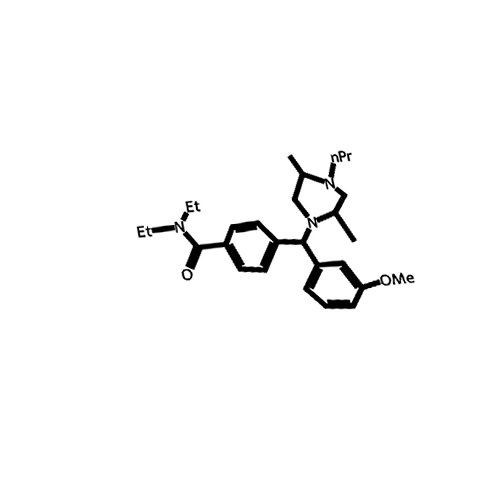 CCCN1CC(C)N(C(c2ccc(C(=O)N(CC)CC)cc2)c2cccc(OC)c2)CC1C